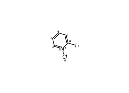 Cl[n+]1ccccc1I